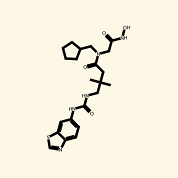 CC(C)(CNC(=O)Nc1ccc2ncsc2c1)CC(=O)N(CC(=O)NO)CC1CCCC1